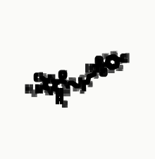 C[N+](C)(CCCNS(=O)(=O)c1ccc(Cl)cc1)CCNC(=O)c1nc(Cl)c(N)nc1N